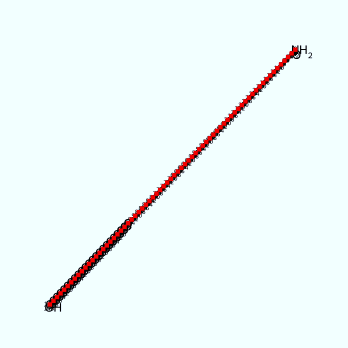 NC(=O)CCCCCCCCCCCCCCCCCCCCCCCCCCCCCCCCCCCCCCCCCCCCCCCCCCCCCCCCCCCCCCCCCCCCCCCCCCCCCCCCCCCCCCCCCCCCOOOOOOOOOOOOOOOOOOOOOOOOOOOOOOOOOOOOOOOOOOOOOO